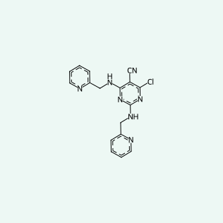 N#Cc1c(Cl)nc(NCc2ccccn2)nc1NCc1ccccn1